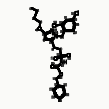 CCCCOc1cc(CCS(=O)(=O)NC(=O)OCc2ccccc2)n(Cc2ccc(Cl)cc2Cl)n1